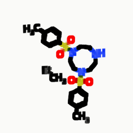 CCC.Cc1ccc(S(=O)(=O)N2CCNCCN(S(=O)(=O)c3ccc(C)cc3)CC2)cc1